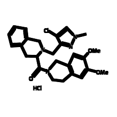 COc1cc2c(cc1OC)CN(C(=O)C1Cc3ccccc3CN1Cc1nn(C)cc1Cl)CC2.Cl